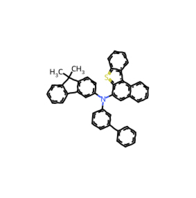 CC1(C)c2ccccc2-c2cc(N(c3cccc(-c4ccccc4)c3)c3cc4ccccc4c4c3sc3ccccc34)ccc21